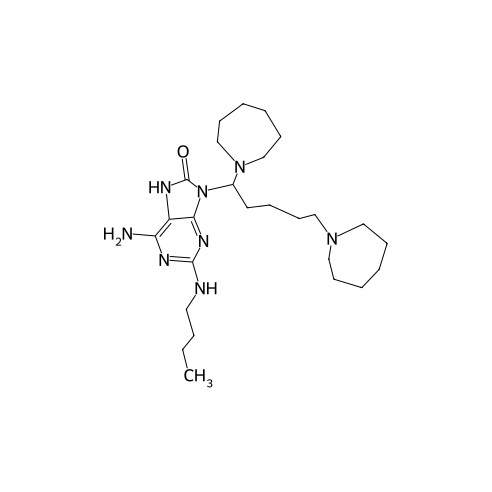 CCCCNc1nc(N)c2[nH]c(=O)n(C(CCCCN3CCCCCC3)N3CCCCCC3)c2n1